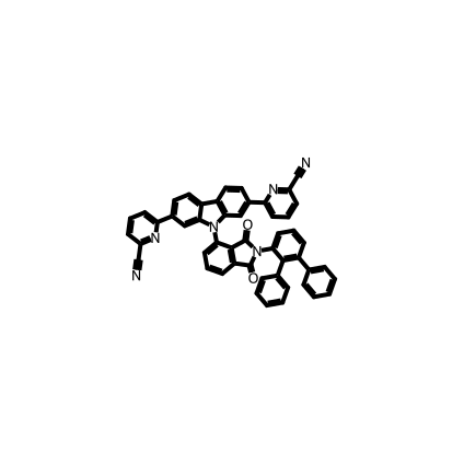 N#Cc1cccc(-c2ccc3c4ccc(-c5cccc(C#N)n5)cc4n(-c4cccc5c4C(=O)N(c4cccc(-c6ccccc6)c4-c4ccccc4)C5=O)c3c2)n1